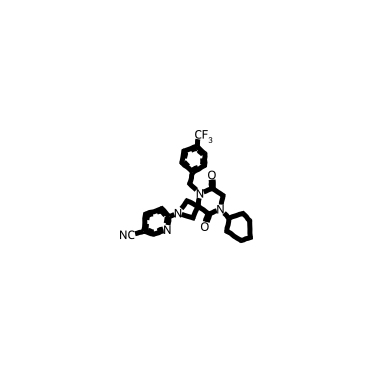 N#Cc1ccc(N2CC3(C2)C(=O)N(C2CCCCC2)CC(=O)N3Cc2ccc(C(F)(F)F)cc2)nc1